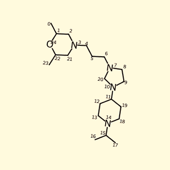 CC1CN(CCCN2CCN(C3CCN(C(C)C)CC3)C2)CC(C)O1